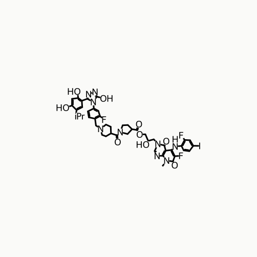 CC(C)c1cc(-c2nnc(O)n2-c2ccc(CN3CCC(C(=O)N4CCC(C(=O)OCC(O)Cn5cnc6c(c(Nc7ccc(I)cc7F)c(F)c(=O)n6C)c5=O)C4)CC3)c(F)c2)c(O)cc1O